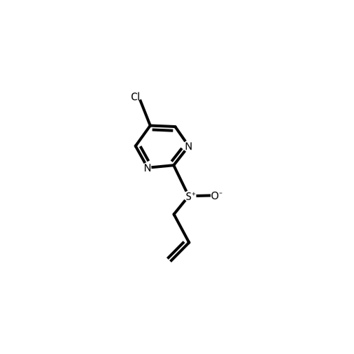 C=CC[S+]([O-])c1ncc(Cl)cn1